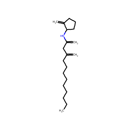 C=C(CCCCCCCCC)CC(=C)NC1CCCC1=C